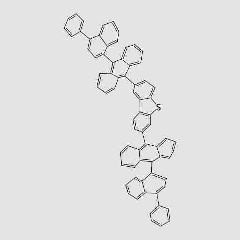 c1ccc(-c2ccc(-c3c4ccccc4c(-c4ccc5c(c4)sc4ccc(-c6c7ccccc7c(-c7ccc(-c8ccccc8)c8ccccc78)c7ccccc67)cc45)c4ccccc34)c3ccccc23)cc1